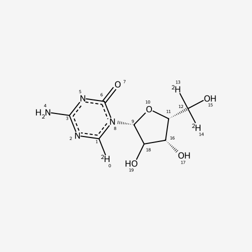 [2H]c1nc(N)nc(=O)n1[C@@H]1O[C@H](C([2H])([2H])O)[C@H](O)C1O